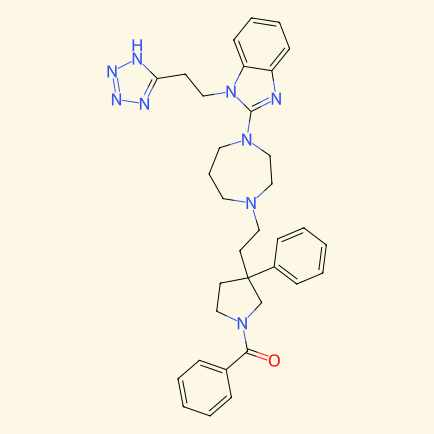 O=C(c1ccccc1)N1CCC(CCN2CCCN(c3nc4ccccc4n3CCc3nnn[nH]3)CC2)(c2ccccc2)C1